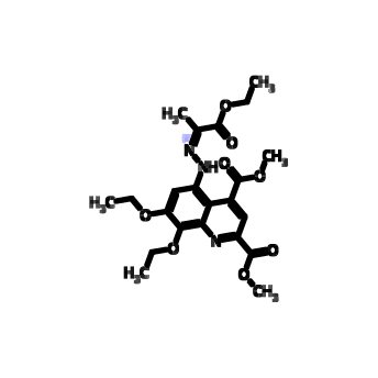 CCOC(=O)/C(C)=N\Nc1cc(OCC)c(OCC)c2nc(C(=O)OC)cc(C(=O)OC)c12